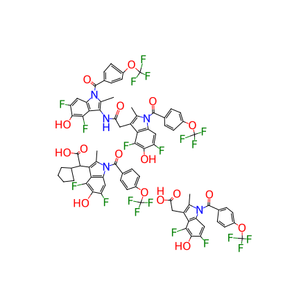 Cc1c(C(C(=O)O)C2CCCC2)c2c(F)c(O)c(F)cc2n1C(=O)c1ccc(OC(F)(F)F)cc1.Cc1c(CC(=O)Nc2c(C)n(C(=O)c3ccc(OC(F)(F)F)cc3)c3cc(F)c(O)c(F)c23)c2c(F)c(O)c(F)cc2n1C(=O)c1ccc(OC(F)(F)F)cc1.Cc1c(CC(=O)O)c2c(F)c(O)c(F)cc2n1C(=O)c1ccc(OC(F)(F)F)cc1